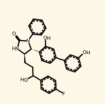 O=C1N[C@H](CCC(O)c2ccc(F)cc2)[C@@H](c2ccc(-c3cccc(O)c3)cc2O)N1c1ccccc1